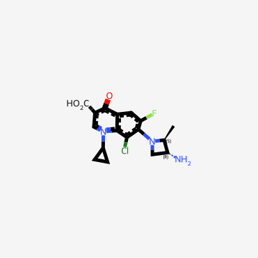 C[C@H]1[C@H](N)CN1c1c(F)cc2c(=O)c(C(=O)O)cn(C3CC3)c2c1Cl